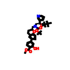 COC(=O)c1ccc(-c2ccc3c(c2)CC[C@@H](CN(C[C@@H](O[Si](C)(C)C(C)(C)C)c2cccnc2)C(=O)OC(C)(C)C)O3)cc1O